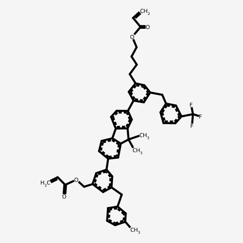 C=CC(=O)OCCCCc1cc(Cc2cccc(C(F)(F)F)c2)cc(-c2ccc3c(c2)C(C)(C)c2cc(-c4cc(COC(=O)C=C)cc(Cc5cccc(C)c5)c4)ccc2-3)c1